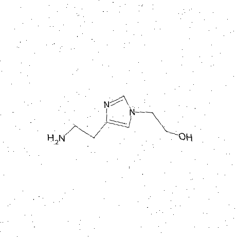 NCCc1cn(CCO)cn1